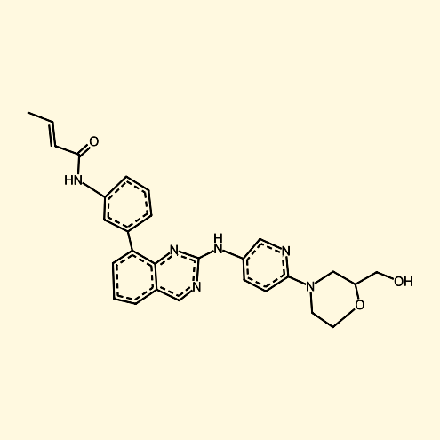 CC=CC(=O)Nc1cccc(-c2cccc3cnc(Nc4ccc(N5CCOC(CO)C5)nc4)nc23)c1